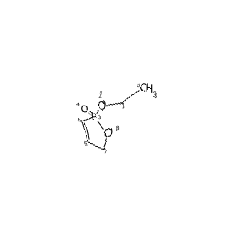 CCOP1(=O)C=CCO1